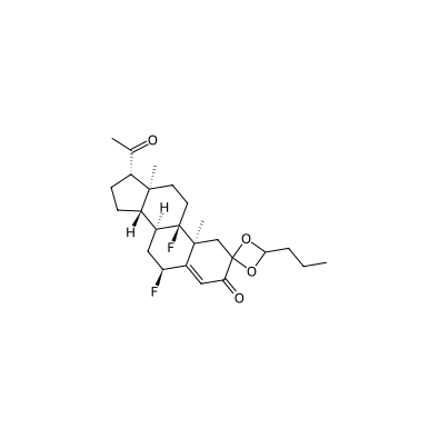 CCCC1OC2(C[C@@]3(C)C(=CC2=O)[C@@H](F)C[C@H]2[C@@H]4CC[C@H](C(C)=O)[C@@]4(C)CC[C@@]23F)O1